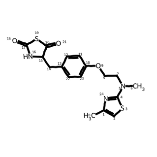 Cc1csc(N(C)CCOc2ccc(CC3NC(=O)SC3=O)cc2)n1